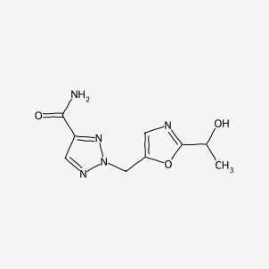 CC(O)c1ncc(Cn2ncc(C(N)=O)n2)o1